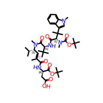 C/C(=C\[C@H](C(C)C)N(C)C(=O)[C@@H](NC(=O)[C@@H](N(C)C(=O)OC(C)(C)C)C(C)(C)c1cn(C)c2ccccc12)C(C)(C)C)C(=O)N[C@H](CC(=O)O)C(=O)OC(C)(C)C